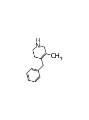 CC1=C(Cc2ccccc2)CCNC1